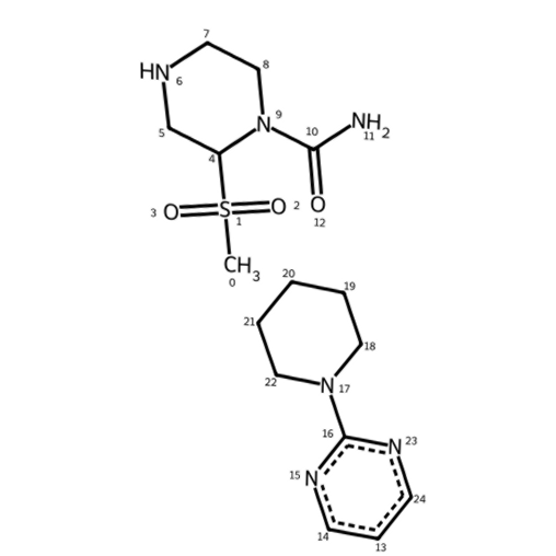 CS(=O)(=O)C1CNCCN1C(N)=O.c1cnc(N2CCCCC2)nc1